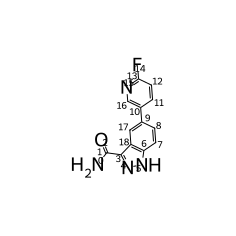 NC(=O)c1n[nH]c2ccc(-c3ccc(F)nc3)cc12